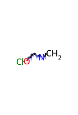 C=C\C=N/C=C/C=C\C=C\OCl